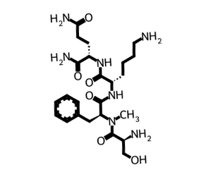 CN(C(=O)[C@@H](N)CO)[C@@H](Cc1ccccc1)C(=O)N[C@@H](CCCCN)C(=O)N[C@@H](CCC(N)=O)C(N)=O